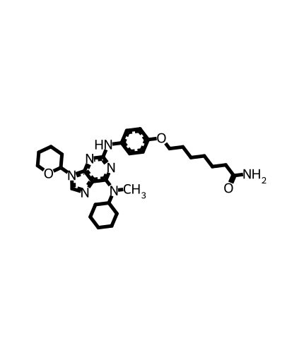 CN(c1nc(Nc2ccc(OCCCCCCC(N)=O)cc2)nc2c1ncn2C1CCCCO1)C1CCCCC1